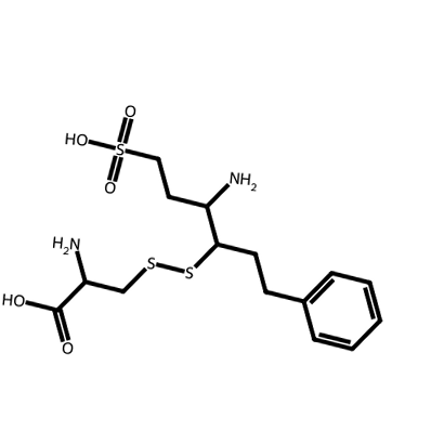 NC(CSSC(CCc1ccccc1)C(N)CCS(=O)(=O)O)C(=O)O